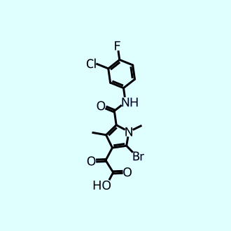 Cc1c(C(=O)C(=O)O)c(Br)n(C)c1C(=O)Nc1ccc(F)c(Cl)c1